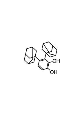 Oc1ccc(C23CC4CC(CC(C4)C2)C3)c(C23CC4CC(CC(C4)C2)C3)c1O